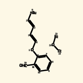 CCCC/C=C/C=C/Oc1ccccc1C=O.CCOCC